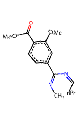 CCC/C=N\C(=N/C)c1ccc(C(=O)OC)c(OC)c1